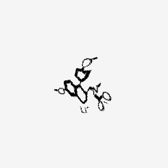 COc1ccc([C@@H]2c3ccc(OC)cc3CC[C@@H]2CN(C)CC(=O)[O-])cc1.[Li+]